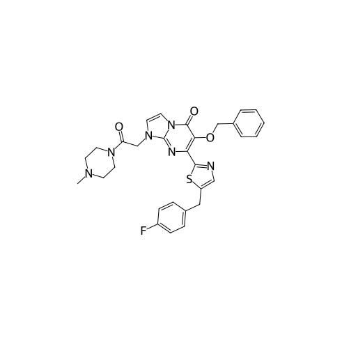 CN1CCN(C(=O)Cn2ccn3c(=O)c(OCc4ccccc4)c(-c4ncc(Cc5ccc(F)cc5)s4)nc23)CC1